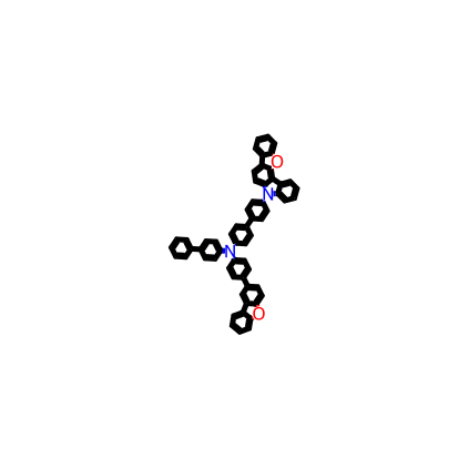 c1ccc(-c2ccc(N(c3ccc(-c4ccc(-n5c6ccccc6c6c7oc8ccccc8c7ccc65)cc4)cc3)c3ccc(-c4ccc5oc6ccccc6c5c4)cc3)cc2)cc1